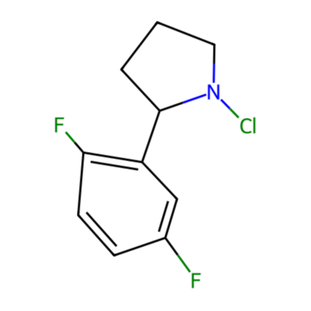 Fc1ccc(F)c(C2CCCN2Cl)c1